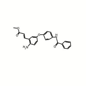 COC(=O)C=Cc1cc(Oc2ccc(NC(=O)c3ccccc3)cc2)ccc1N